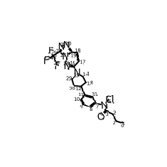 CCCC(=O)N(Cl)c1cccc(C2CCN(c3ccc4nnc(C(F)(F)F)n4n3)CC2)c1